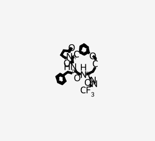 O=C1N[C@H](c2nnc(C(F)(F)F)o2)CCCCOc2cccc(c2)C[C@H](N2CCCC2=O)C(=O)N[C@H]1CCc1ccccc1